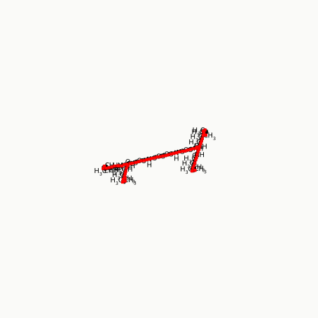 CC1=C(/C=C/C(C)=C/C=C/C(C)=C/CN[C@@H](CCCCNC(=O)/C=C(C)/C=C/C=C(C)/C=C/C2=C(C)CCCC2(C)C)C(=O)NCCCOCCOCCOCCCNCCCOCCOCCOCCOCCOCCCNCCCOCCOCCOCCCNC(=O)[C@H](CCCCNC(=O)/C=C(C)/C=C/C=C(C)/C=C/C2=C(C)CCCC2(C)C)NC/C=C(C)/C=C/C=C(C)/C=C/C2=C(C)CCCC2(C)C)C(C)(C)CCC1